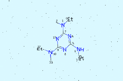 CCN(C)c1nc(NC(C)C)nc(N(C)CC)n1